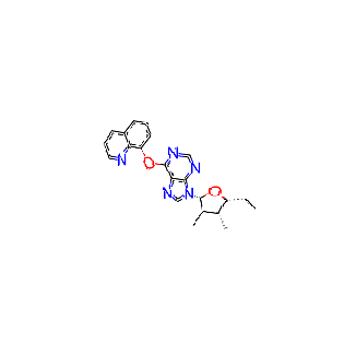 CC[C@H]1O[C@@H](n2cnc3c(Oc4cccc5cccnc45)ncnc32)C(C)[C@H]1C